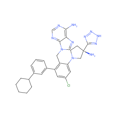 Nc1ncnc2c1ncn2Cc1c(-c2cccc(C3CCCCC3)c2)cc(Cl)cc1N1CC[C@](N)(c2nn[nH]n2)C1